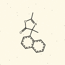 CC1=NC(C)(c2cccc3ccccc23)C(=O)O1